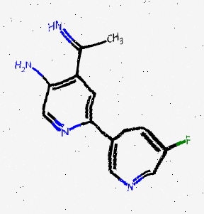 CC(=N)c1cc(-c2cncc(F)c2)ncc1N